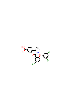 CC(NC(=O)c1cc(Cl)ccc1Oc1cc(F)cc(Cl)c1)c1ccc(C(=O)O)cc1